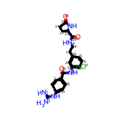 Cl.N=C(N)Nc1ccc(C(=O)Nc2cccc(CCNC(=O)C3CCC(=O)N3)c2)cc1